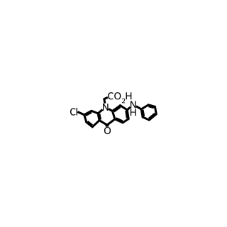 O=C(O)Cn1c2cc(Cl)ccc2c(=O)c2ccc(Nc3ccccc3)cc21